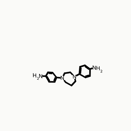 Nc1ccc(N2CCCN(c3ccc(N)cc3)CC2)cc1